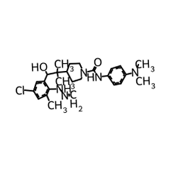 C=NNc1c(C)cc(Cl)cc1C(O)C(C)(C)C1CCN(C(=O)Nc2ccc(N(C)C)cc2)CC1